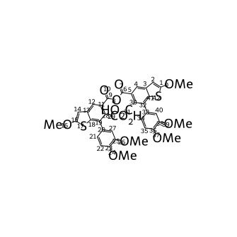 COc1cc2cc(C(=O)OC(=O)c3cc4cc(OC)sc4c(-c4ccc(OC)c(OC)c4)c3C(=O)O)c(C(=O)O)c(-c3ccc(OC)c(OC)c3)c2s1